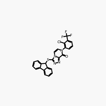 O=c1c2nnc(SC3c4ccccc4-c4ccccc43)n2ccn1-c1cccc(C(F)(F)F)c1Cl